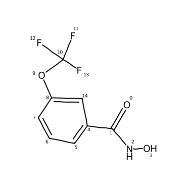 O=C(NO)c1cccc(OC(F)(F)F)c1